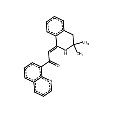 CC1(C)Cc2ccccc2/C(=C/C(=O)c2cccc3cccnc23)N1